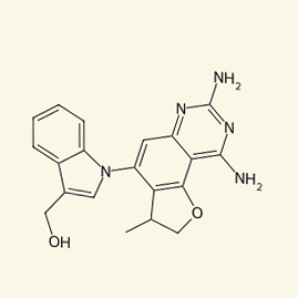 CC1COc2c1c(-n1cc(CO)c3ccccc31)cc1nc(N)nc(N)c21